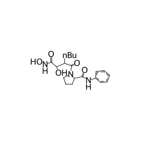 CCCCC(C(=O)N1CCCC1C(=O)Nc1ccccc1)C(O)C(=O)NO